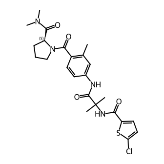 Cc1cc(NC(=O)C(C)(C)NC(=O)c2ccc(Cl)s2)ccc1C(=O)N1CCC[C@H]1C(=O)N(C)C